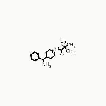 CC(C)(C)C(=O)ON1CCC(C(N)c2ccccc2)CC1